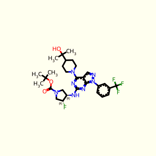 CC(C)(C)OC(=O)N1C[C@@H](F)[C@H](Nc2nc(N3CCC(C(C)(C)O)CC3)c3cnn(-c4cccc(C(F)(F)F)c4)c3n2)C1